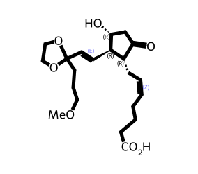 COCCCC1(/C=C/[C@H]2[C@H](O)CC(=O)[C@@H]2C/C=C\CCCC(=O)O)OCCO1